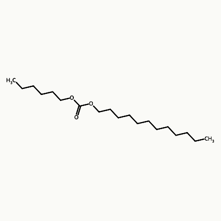 CCCCCCCCCCCCOC(=O)OCCCCCC